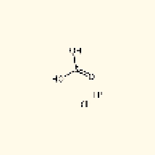 O=S(O)O.[Cl-].[Li+]